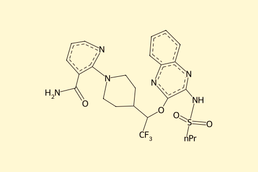 CCCS(=O)(=O)Nc1nc2ccccc2nc1OC(C1CCN(c2ncccc2C(N)=O)CC1)C(F)(F)F